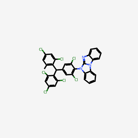 Cc1cc(Cl)cc(Cl)c1C(c1cc(Cl)c(-n2c3ccccc3n3c4ccccc4nc23)c(Cl)c1)c1c(Cl)cc(Cl)cc1Cl